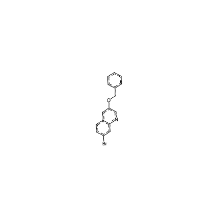 Brc1ccc2cc(OCc3ccccc3)cnc2c1